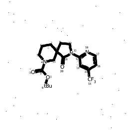 CC(C)(C)OC(=O)N1CCCC2(CCN(c3cc(C(F)(F)F)ccn3)C2=O)C1